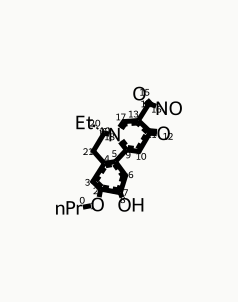 CCCOc1cc2c(cc1O)-c1cc(=O)c(C(=O)N=O)cn1[C@@H](CC)C2